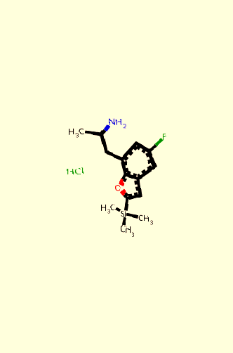 CC(N)Cc1cc(F)cc2cc([Si](C)(C)C)oc12.Cl